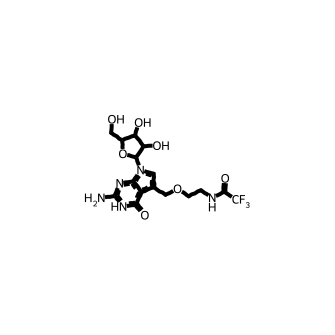 Nc1nc2c(c(COCCNC(=O)C(F)(F)F)cn2C2OC(CO)C(O)C2O)c(=O)[nH]1